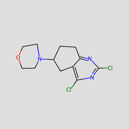 Clc1nc(Cl)c2c(n1)CCC(N1CCOCC1)C2